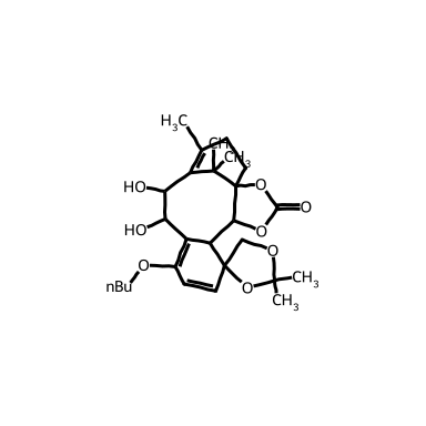 CCCCOC1=C2C(O)C(O)C3=C(C)CCC4(OC(=O)OC4C2C2(C=C1)COC(C)(C)O2)C3(C)C